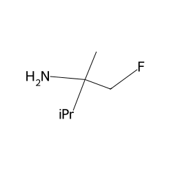 CC(C)C(C)(N)CF